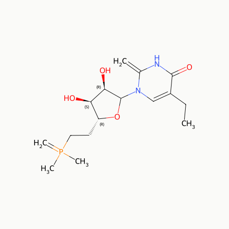 C=C1NC(=O)C(CC)=CN1C1O[C@H](CCP(=C)(C)C)[C@@H](O)[C@H]1O